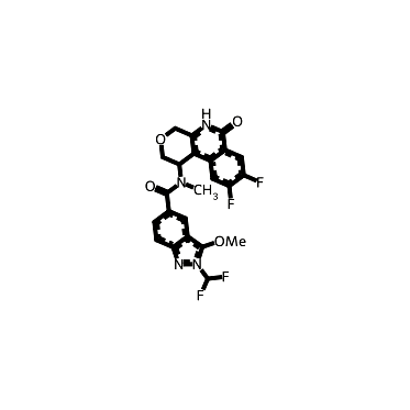 COc1c2cc(C(=O)N(C)C3COCc4[nH]c(=O)c5cc(F)c(F)cc5c43)ccc2nn1C(F)F